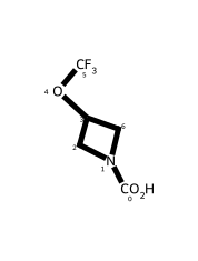 O=C(O)N1CC(OC(F)(F)F)C1